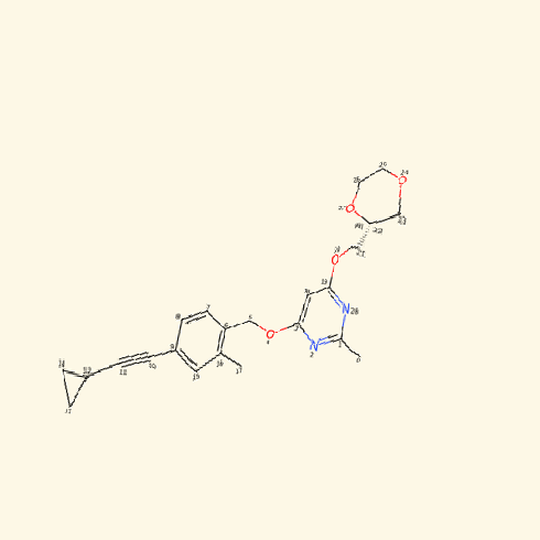 Cc1nc(OCc2ccc(C#CC3CC3)cc2C)cc(OC[C@H]2COCCO2)n1